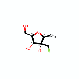 C[C@@H]1O[C@H](CO)[C@@H](O)[C@]1(O)CF